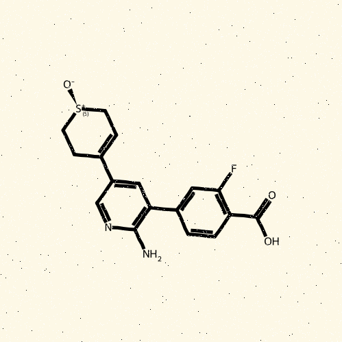 Nc1ncc(C2=CC[S@+]([O-])CC2)cc1-c1ccc(C(=O)O)c(F)c1